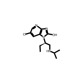 CC[C@H](CNC(C)C)n1c(O)nc2ncc(Cl)cc21